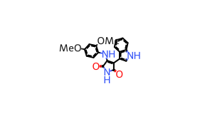 COc1ccc(NC2=C(c3c[nH]c4ccccc34)C(=O)NC2=O)c(OC)c1